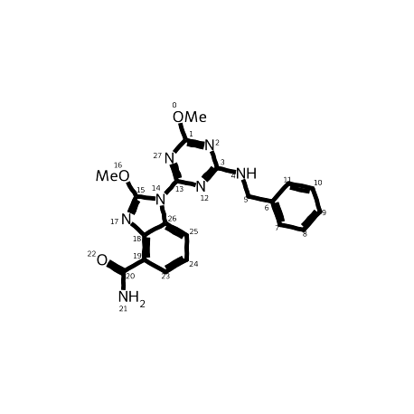 COc1nc(NCc2ccccc2)nc(-n2c(OC)nc3c(C(N)=O)cccc32)n1